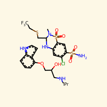 CC(C)NCC(O)COc1cccc2[nH]ccc12.CN1C(CSCC(F)(F)F)Nc2cc(Cl)c(S(N)(=O)=O)cc2S1(=O)=O